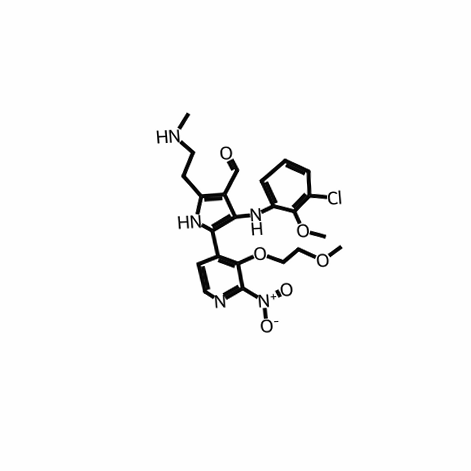 CNCCc1[nH]c(-c2ccnc([N+](=O)[O-])c2OCCOC)c(Nc2cccc(Cl)c2OC)c1C=O